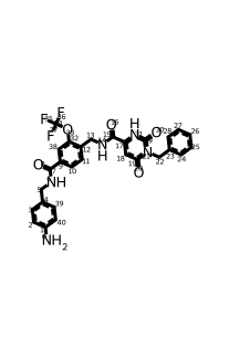 Nc1ccc(CNC(=O)c2ccc(CNC(=O)c3cc(=O)n(Cc4ccccc4)c(=O)[nH]3)c(OC(F)(F)F)c2)cc1